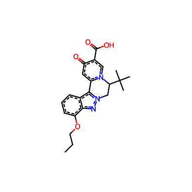 CCCOc1cccc2c3n(nc12)CC(C(C)(C)C)n1cc(C(=O)O)c(=O)cc1-3